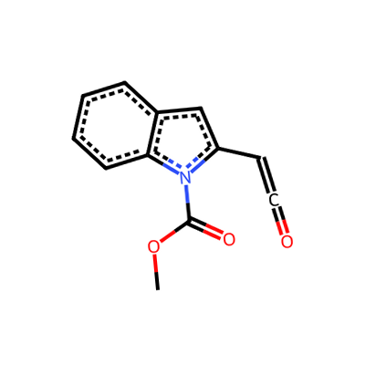 COC(=O)n1c(C=C=O)cc2ccccc21